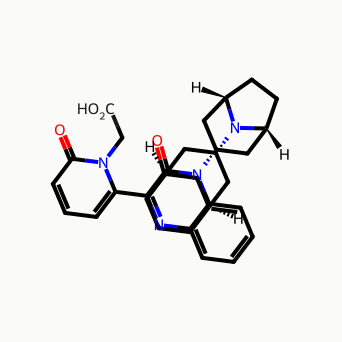 O=C(O)Cn1c(-c2nc3ccccc3n([C@H]3C[C@H]4CC[C@@H](C3)N4[C@H]3C[C@@H]4CCC[C@@H](C4)C3)c2=O)cccc1=O